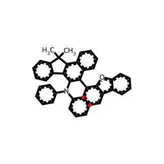 CC1(C)c2ccccc2-c2c(N(c3ccccc3)c3ccccc3)c(-c3cccc4c3oc3ccccc34)c3ccccc3c21